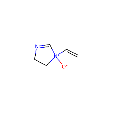 C=C[N+]1([O-])C=NCC1